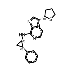 c1ccc([C@H]2C[C@H]2Nc2nccn3c([C@@H]4CCCS4)cnc23)cc1